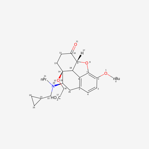 CCCCOc1ccc2c3c1O[C@H]1C(=O)CC[C@](OCC(=O)O)(C31)[C@H](N(CCC)CC1CC1)C2